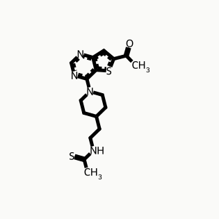 CC(=O)c1cc2ncnc(N3CCC(CCNC(C)=S)CC3)c2s1